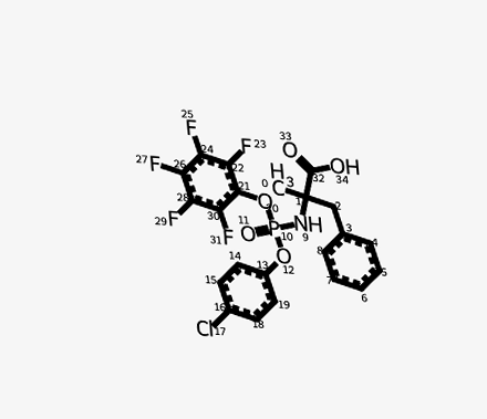 CC(Cc1ccccc1)(NP(=O)(Oc1ccc(Cl)cc1)Oc1c(F)c(F)c(F)c(F)c1F)C(=O)O